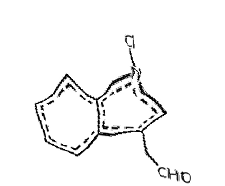 O=Cc1cn(Cl)c2ccccc12